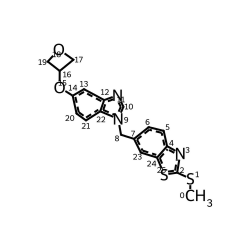 CSc1nc2ccc(Cn3cnc4cc(OC5COC5)ccc43)cc2s1